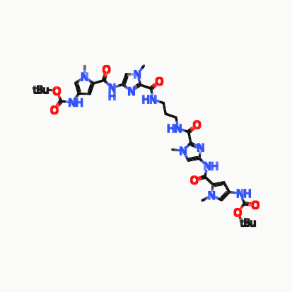 Cn1cc(NC(=O)OC(C)(C)C)cc1C(=O)Nc1cn(C)c(C(=O)NCCCNC(=O)c2nc(NC(=O)c3cc(NC(=O)OC(C)(C)C)cn3C)cn2C)n1